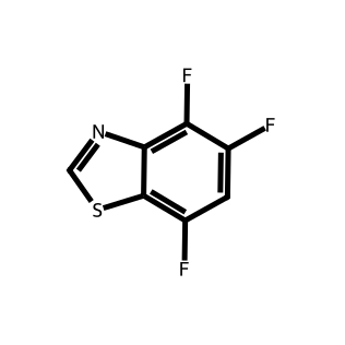 Fc1cc(F)c2scnc2c1F